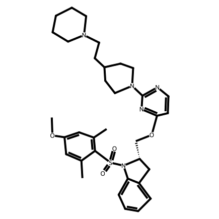 COc1cc(C)c(S(=O)(=O)N2c3ccccc3C[C@H]2COc2ccnc(N3CCC(CCN4CCCCC4)CC3)n2)c(C)c1